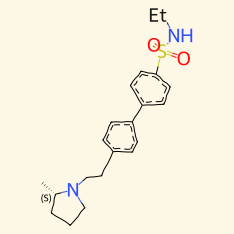 CCNS(=O)(=O)c1ccc(-c2ccc(CCN3CCC[C@@H]3C)cc2)cc1